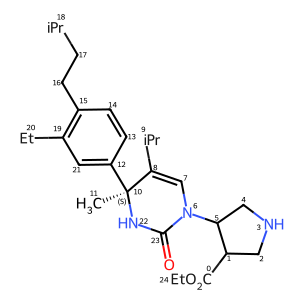 CCOC(=O)C1CNCC1N1C=C(C(C)C)[C@](C)(c2ccc(CCC(C)C)c(CC)c2)NC1=O